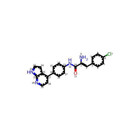 NC(=Cc1ccc(Cl)cc1)C(=O)Nc1ccc(-c2ccnc3[nH]ccc23)cc1